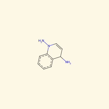 NC1C=CN(N)c2ccccc21